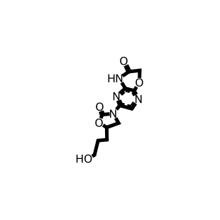 O=C1COc2ncc(N3CC(CCCO)OC3=O)nc2N1